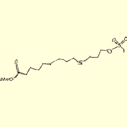 COC(=O)CCCCCCCCSCCCOS(C)(=O)=O